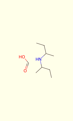 CCC(C)NC(C)CC.O=CO